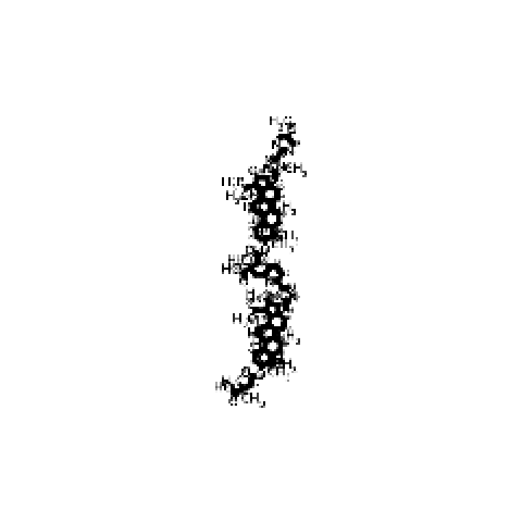 COc1cnc(-c2nnc(C[C@@]34CC[C@]5(C)[C@H](CC[C@@H]6[C@@]7(C)CC[C@H](OC(=O)CC(C)(Cc8nc(-c9nnc(C[C@@]%10%11CC[C@]%12(C)[C@H](CC[C@@H]%13[C@@]%14(C)CC[C@H](OC(=O)CC(C)(C)C(=O)O)C(C)(C)[C@@H]%14CC[C@]%13%12C)C%10=C(C(C)C)C(=O)C%11)n9C)ccc8OC)C(=O)O)C(C)(C)[C@@H]7CC[C@]65C)C3=C(C(C)C)C(=O)C4)n2C)nc1